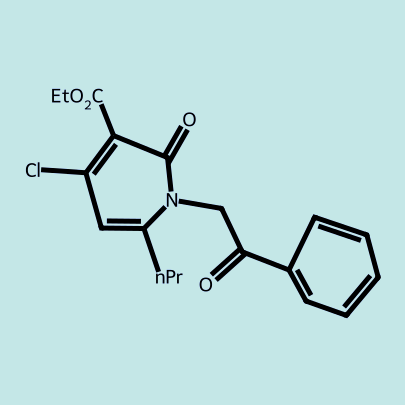 CCCc1cc(Cl)c(C(=O)OCC)c(=O)n1CC(=O)c1ccccc1